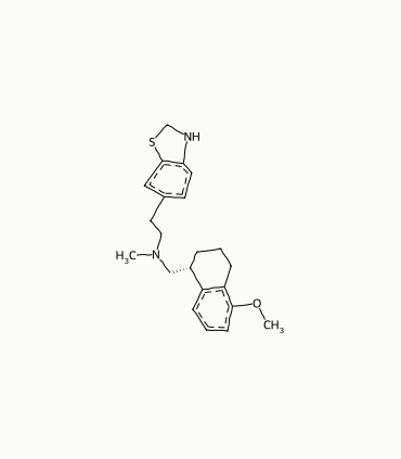 COc1cccc2c1CCC[C@H]2CN(C)CCc1ccc2c(c1)SCN2